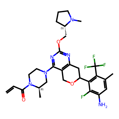 C=CC(=O)N1CCN(c2nc(OC[C@@H]3CCCN3C)nc3c2COC(c2c(F)c(N)cc(C)c2C(F)(F)F)C3)C[C@H]1C